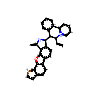 C=CC1C(C2NC(=C)c3c2ccc2c3oc3c2ccc2ccsc23)c2ccccc2-c2cccc[n+]21